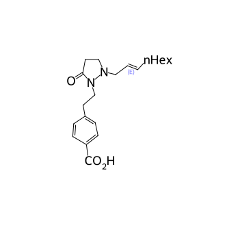 CCCCCC/C=C/CN1CCC(=O)N1CCc1ccc(C(=O)O)cc1